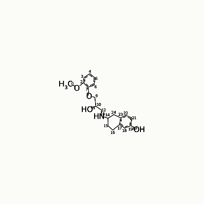 COc1ccccc1OCC(O)CNC1CCc2cc(O)ccc2C1